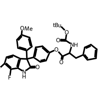 COc1ccc(C2(c3ccc(OC(=O)C(Cc4ccccc4)NC(=O)OC(C)(C)C)cc3)C(=O)Nc3c2ccc(F)c3F)cc1